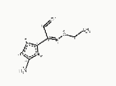 CCO/N=C(\[C]=O)c1noc(N)n1